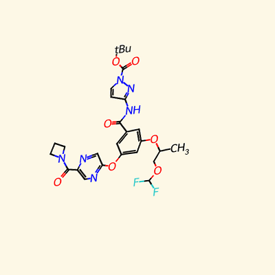 CC(COC(F)F)Oc1cc(Oc2cnc(C(=O)N3CCC3)cn2)cc(C(=O)Nc2ccn(C(=O)OC(C)(C)C)n2)c1